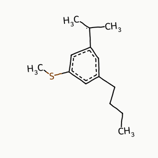 CCCCc1cc(SC)cc([C](C)C)c1